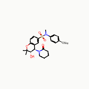 COc1ccc(N(C)S(=O)(=O)c2ccc3c(c2)[C@@H](N2CCCCC2=O)[C@H](O)C(C)(C)O3)cc1